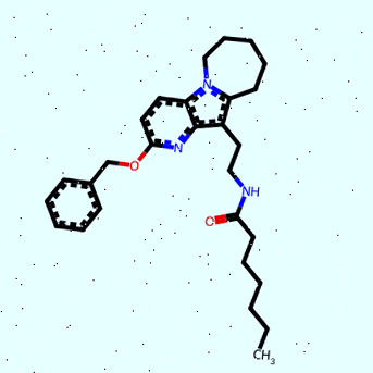 CCCCCCC(=O)NCCc1c2n(c3ccc(OCc4ccccc4)nc13)CCCCC2